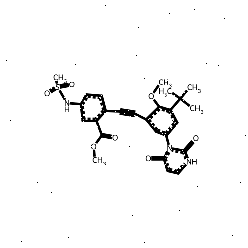 COC(=O)c1cc(NS(C)(=O)=O)ccc1C#Cc1cc(-n2c(=O)cc[nH]c2=O)cc(C(C)(C)C)c1OC